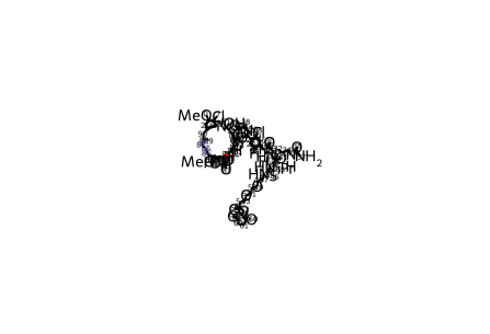 COc1cc2cc(c1Cl)N(C)C(O)C[C@H](OC(=O)[C@H](C)N(C)C(=O)c1cc(F)c(NC(=O)[C@H](CCCNC(N)=O)NC(=O)[C@@H](NC(=S)NCCOCCOCCC(=O)ON3C(=O)CCC3=O)C(C)C)cc1Cl)[C@]1(C)O[C@H]1[C@H](C)[C@@H]1C[C@@](O)(NC(=O)O1)[C@H](OC)/C=C/C=C(\C)C2